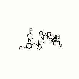 CS(=O)(=O)Nc1ccn(C(=O)N2CCC3(CCCN3Cc3ccc(Cl)cc3N3CCC(F)CC3)CC2)n1